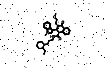 CCC1CCCCN1CCCNC(=O)C1c2ccccc2C(=O)N(CCOC)C1c1cn(C)c2ccccc12